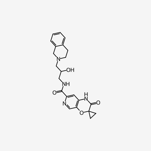 O=C(NCC(O)CN1CCc2ccccc2C1)c1cc2c(cn1)OC1(CC1)C(=O)N2